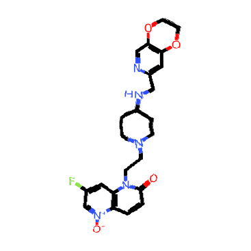 O=c1ccc2c(cc(F)c[n+]2[O-])n1CCN1CCC(NCc2cc3c(cn2)OCCO3)CC1